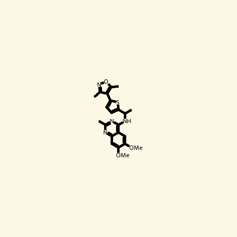 COc1cc2nc(C)nc(NC(C)c3ccc(-c4c(C)noc4C)s3)c2cc1OC